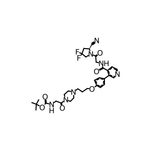 CC(C)(C)OC(=O)NCC(=O)N1CCN(CCCOc2ccc(-c3cnccc3C(=O)NCC(=O)N3CC(F)(F)C[C@H]3C#N)cc2)CC1